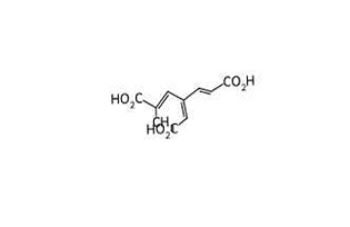 CC(=CC(C=CC(=O)O)=CC(=O)O)C(=O)O